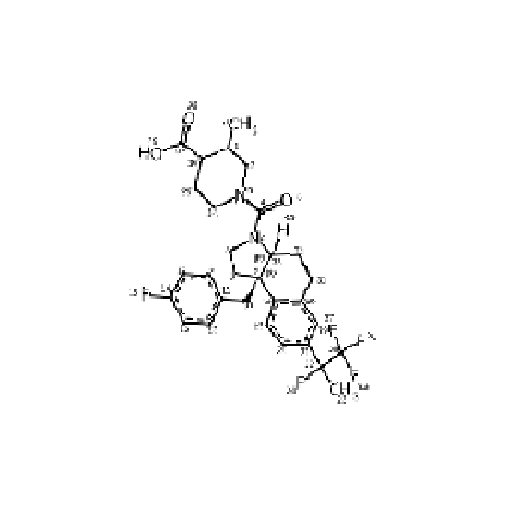 CC1CN(C(=O)N2CC[C@@]3(Cc4ccc(F)cc4)c4ccc(C(C)(F)C(F)(F)F)cc4CC[C@@H]23)CCC1C(=O)O